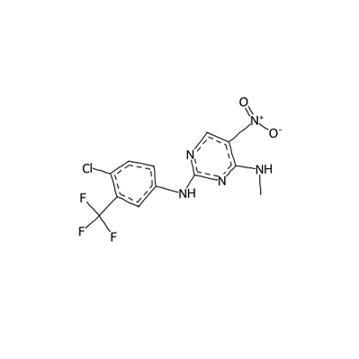 CNc1nc(Nc2ccc(Cl)c(C(F)(F)F)c2)ncc1[N+](=O)[O-]